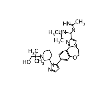 CC(=N)/N=C(\NC(C)C)c1cn2c(n1)-c1ccc(-c3ccnn3[C@@H]3CCCN(C(C)(C)CO)C3)cc1OCC2